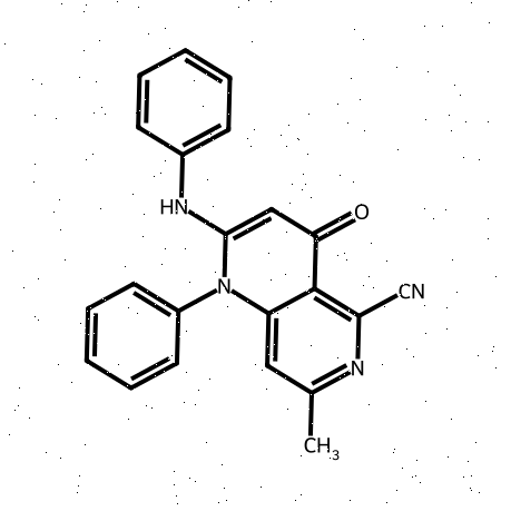 Cc1cc2c(c(C#N)n1)c(=O)cc(Nc1ccccc1)n2-c1ccccc1